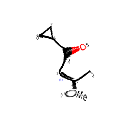 CO/C(C)=C/C(=O)C1CC1